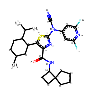 CC1CCC(C(C)C)C(c2sc(N(C#N)c3cc(F)nc(F)c3)nc2C(=O)NC2CCC23CCCC3)C1